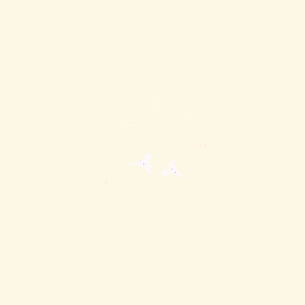 C=Cn1cc[n+](C(C)C)c1.O=C(O)CC(=O)O